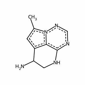 Cc1cc2c3c(ncnn13)NCC2N